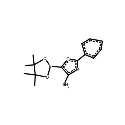 Bc1nc(-c2ccccc2)oc1B1OC(C)(C)C(C)(C)O1